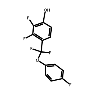 Oc1ccc(C(F)(F)Oc2ccc(F)cc2)c(F)c1F